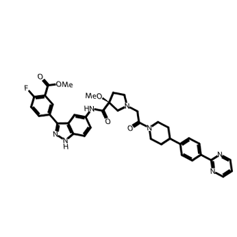 COC(=O)c1cc(-c2n[nH]c3ccc(NC(=O)[C@]4(OC)CCN(CC(=O)N5CCC(c6ccc(-c7ncccn7)cc6)CC5)C4)cc23)ccc1F